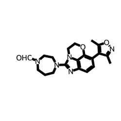 Cc1noc(C)c1-c1ccc2nc(N3CCCN(C=O)CC3)n3c2c1OCC3